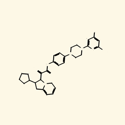 Cc1cc(C)nc(N2CCN(c3ccc(NC(=O)C(=O)C4C(C5CCCC5)CC5=CC=CCN54)cc3)CC2)c1